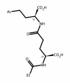 CCC(=O)N[C@@H](CCC(=O)N[C@@H](CCC(C)=O)C(=O)O)C(=O)O